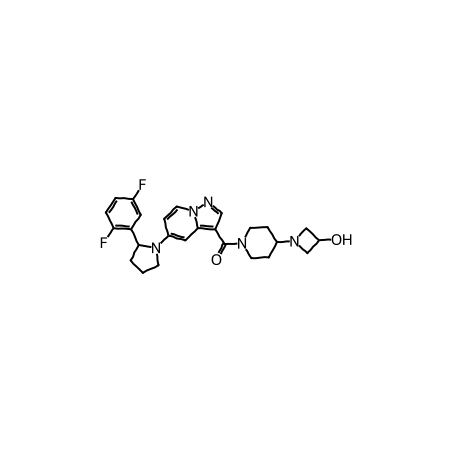 O=C(c1cnn2ccc(N3CCCC3c3cc(F)ccc3F)cc12)N1CCC(N2CC(O)C2)CC1